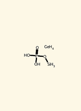 O=P(O)(O)O[SiH3].[GeH4]